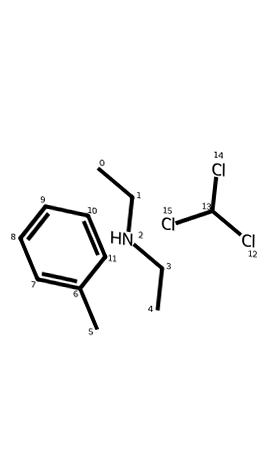 CCNCC.Cc1ccccc1.ClC(Cl)Cl